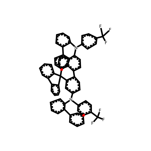 FC(F)(F)c1ccc(N(c2ccc3c(c2)C2(c4ccccc4-c4ccccc42)c2cccc4c(N(c5ccc(C(F)(F)F)cc5)c5ccccc5-c5ccccc5)ccc-3c24)c2ccccc2-c2ccccc2)cc1